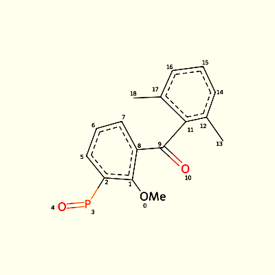 COc1c(P=O)cccc1C(=O)c1c(C)cccc1C